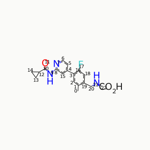 Cc1cc(-c2ccnc(NC(=O)C3CC3)c2)c(F)cc1CNC(=O)O